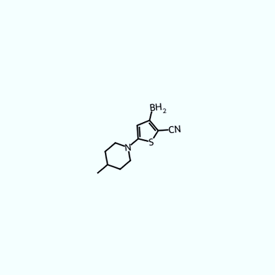 Bc1cc(N2CCC(C)CC2)sc1C#N